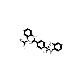 O=C(Nc1ccccc1OC(F)F)c1ccc(S(=O)(=O)Nc2ccccc2F)cc1